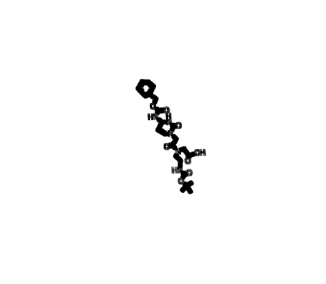 CC(C)(C)OC(=O)NCCN(CC(=O)O)C(=O)CN1C=CC(NC(=O)OCc2ccccc2)NC1=O